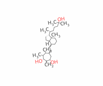 C=C1[C@H](O)C/C(=C/C=C2\CCC[C@]3(C)[C@@H]([C@H](C)CCCC(C)(C)O)CC[C@@H]23)C(C)C(C)[C@H]1O